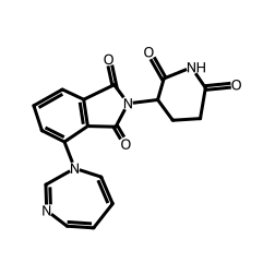 O=C1CCC(N2C(=O)c3cccc(N4C=CC=CN=C4)c3C2=O)C(=O)N1